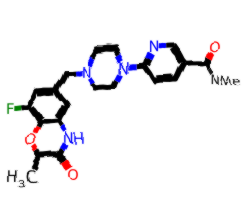 CNC(=O)c1ccc(N2CCN(Cc3cc(F)c4c(c3)NC(=O)C(C)O4)CC2)nc1